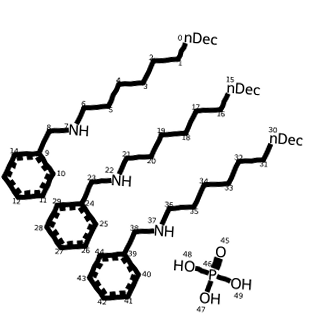 CCCCCCCCCCCCCCCCNCc1ccccc1.CCCCCCCCCCCCCCCCNCc1ccccc1.CCCCCCCCCCCCCCCCNCc1ccccc1.O=P(O)(O)O